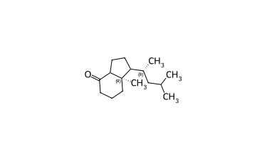 CC(C)C[C@@H](C)C1CCC2C(=O)CCC[C@@]21C